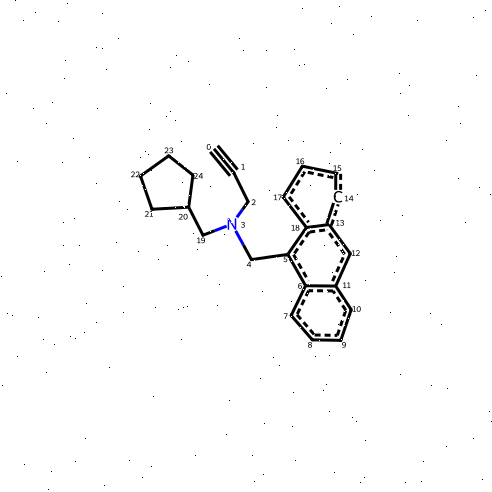 C#CCN(Cc1c2ccccc2cc2ccccc12)CC1CCCC1